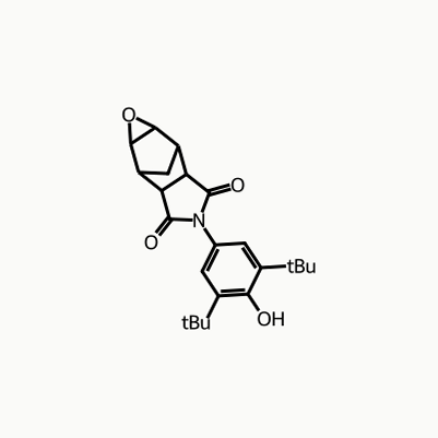 CC(C)(C)c1cc(N2C(=O)C3C4CC(C5OC45)C3C2=O)cc(C(C)(C)C)c1O